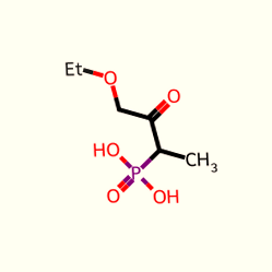 CCOCC(=O)C(C)P(=O)(O)O